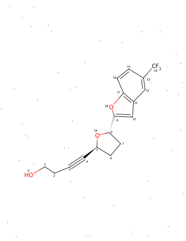 OCCC#C[C@@H]1CC[C@@H](c2cc3cc(C(F)(F)F)ccc3o2)O1